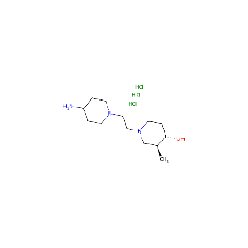 C[C@H]1CN(CCN2CCC(N)CC2)CC[C@@H]1O.Cl.Cl.Cl